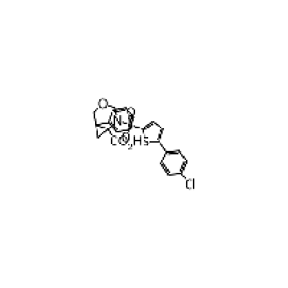 O=C(O)C12CC1(c1ccccc1)COCN2S(=O)(=O)c1ccc(-c2ccc(Cl)cc2)s1